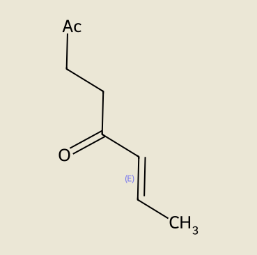 C/C=C/C(=O)CCC(C)=O